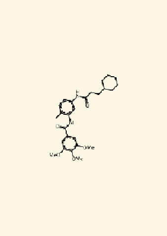 COc1cc(C(=O)Nc2cc(NC(=O)CCC3CCCCC3)ccc2C)cc(OC)c1OC